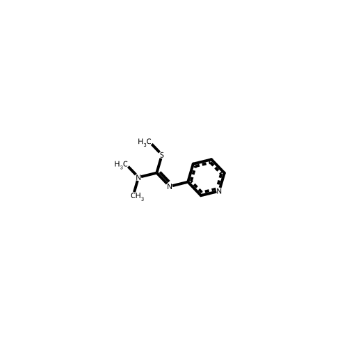 CSC(=Nc1cccnc1)N(C)C